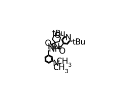 CN(C)c1cccc(CNC(=O)C2(NC(=O)c3cc(C(C)(C)C)nc(C(C)(C)C)c3)CCOCC2)c1